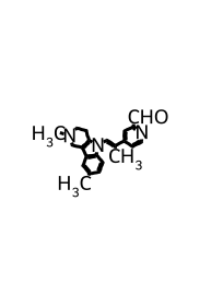 C/C(=C\n1c2c(c3cc(C)ccc31)CN(C)CC2)c1ccnc(C=O)c1